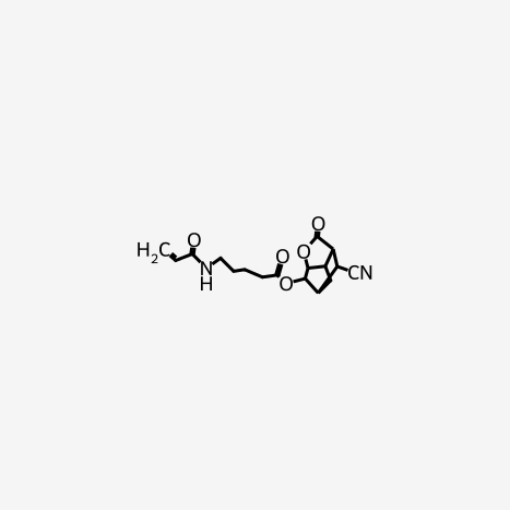 C=CC(=O)NCCCCC(=O)OC1C2CC3C1OC(=O)C3C2C#N